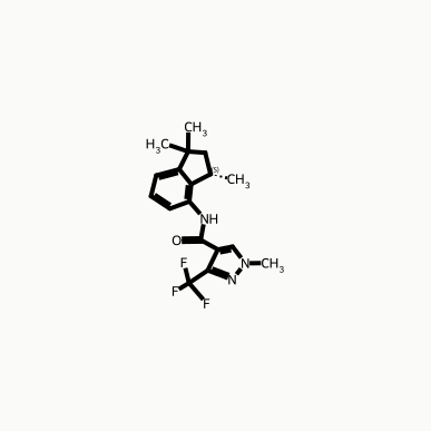 C[C@H]1CC(C)(C)c2cccc(NC(=O)c3cn(C)nc3C(F)(F)F)c21